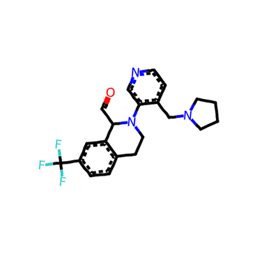 O=CC1c2cc(C(F)(F)F)ccc2CCN1c1cnccc1CN1CCCC1